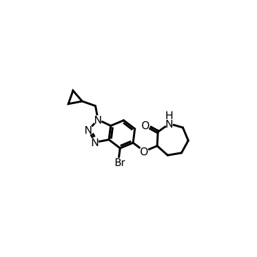 O=C1NCCCCC1Oc1ccc2c(nnn2CC2CC2)c1Br